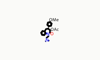 COc1ccc([C@@H]2Cc3ccccc3N(CCN(C)C)C(=O)[C@@H]2OC(C)=O)cc1